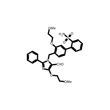 COCCOc1cc(-c2ccccc2S(N)(=O)=O)ccc1Cn1c(-c2ccccc2)nc(OCCOC)c1C=O